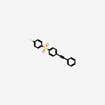 O=S(=O)(c1ccc(F)cc1)c1ccc(C#Cc2ccccc2)cc1